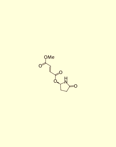 COC(=O)/C=C/C(=O)O[C@@H]1CCC(=O)N1